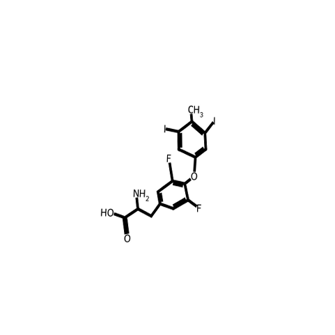 Cc1c(I)cc(Oc2c(F)cc(CC(N)C(=O)O)cc2F)cc1I